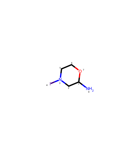 NC1CN(I)CCO1